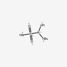 CCCCN(CCC)S([NH])(=O)=O